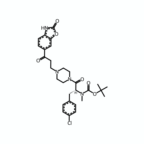 CN(C(=O)OC(C)(C)C)[C@H](Cc1ccc(Cl)cc1)C(=O)N1CCN(CCC(=O)c2ccc3[nH]c(=O)oc3c2)CC1